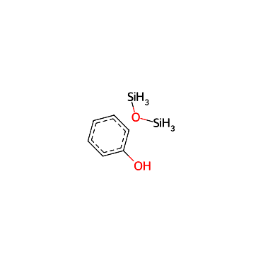 Oc1ccccc1.[SiH3]O[SiH3]